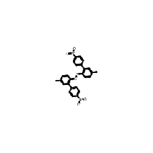 Cc1ccc(SSc2ccc(C)cc2-c2ccc([N+](=O)[O-])cc2)c(-c2ccc([N+](=O)[O-])cc2)c1